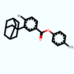 CCc1ccc(C(=O)Oc2ccc(C(=O)O)cc2)cc1C12CC3CC(CC(C3)C1)C2